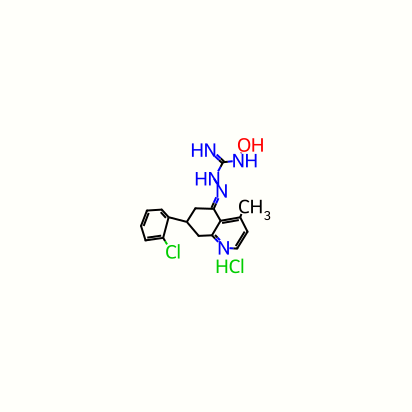 Cc1ccnc2c1C(=NNC(=N)NO)CC(c1ccccc1Cl)C2.Cl